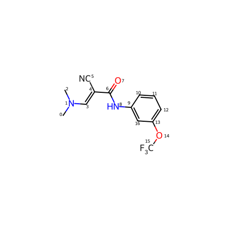 CN(C)C=C(C#N)C(=O)Nc1cccc(OC(F)(F)F)c1